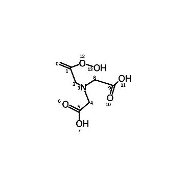 C=C(CN(CC(=O)O)CC(=O)O)OO